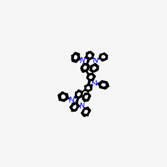 c1ccc(N(c2ccccc2)c2cccc3c2c2cc(-c4ccc5c(c4)c4cc(-c6ccc7c(c6)c6c(N(c8ccccc8)c8ccccc8)cccc6n7-c6ccccc6)ccc4n5-c4ccccc4)ccc2n3-c2ccccc2)cc1